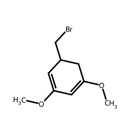 COC1=CC(CBr)CC(OC)=C1